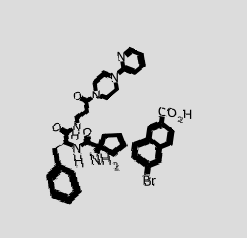 NC1(C(=O)N[C@H](Cc2ccccc2)C(=O)NCCC(=O)N2CCN(c3ccccn3)CC2)CCCC1.O=C(O)c1ccc2cc(Br)ccc2c1